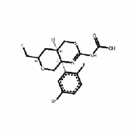 O=C(O)NC1=N[C@@]2(c3cc(Br)ccc3F)CO[C@@H](CF)C[C@H]2CS1